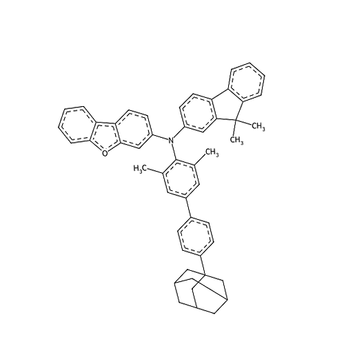 Cc1cc(-c2ccc(C34CC5CC(CC(C5)C3)C4)cc2)cc(C)c1N(c1ccc2c(c1)C(C)(C)c1ccccc1-2)c1ccc2c(c1)oc1ccccc12